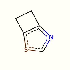 c1nc2c(s1)CC2